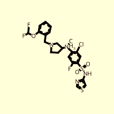 CN(c1cc(F)c(S(=O)(=O)Nc2cscn2)cc1Cl)C1CCN(Cc2ccccc2OC(F)F)C1